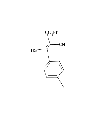 CCOC(=O)C(C#N)=C(S)c1ccc(C)cc1